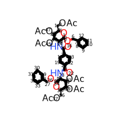 CC(=O)OC[C@H]1O[C@H](OCc2ccccc2)[C@@H](NC(=O)c2ccc(C(=O)N[C@@H]3[C@@H](OCc4ccccc4)O[C@H](COC(C)=O)[C@@H](OC(C)=O)[C@@H]3OC(C)=O)cc2)[C@@H](OC(C)=O)[C@@H]1OC(C)=O